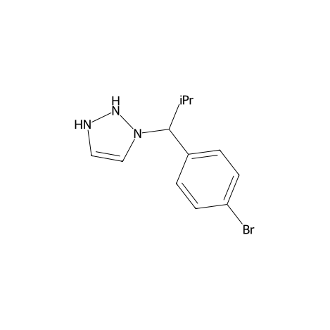 CC(C)C(c1ccc(Br)cc1)N1C=CNN1